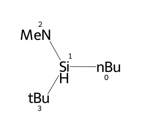 CCCC[SiH](NC)C(C)(C)C